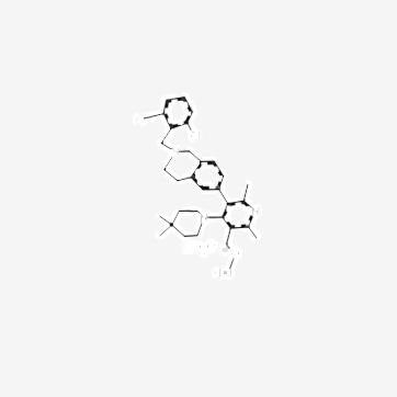 Cc1nc(C)c([C@H](OC(C)(C)C)C(=O)O)c(N2CCC(C)(C)CC2)c1-c1ccc2c(c1)CCN(Cc1c(Cl)cccc1Cl)C2